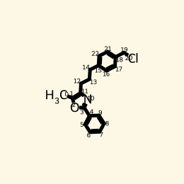 Cc1oc(-c2ccccc2)nc1CCCc1ccc(CCl)cc1